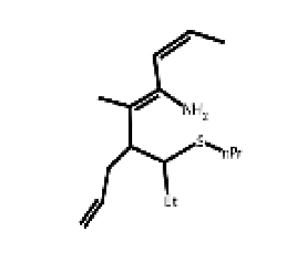 C=CCC(/C(C)=C(N)/C=C\C)C(CC)SCCC